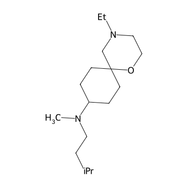 CCN1CCOC2(CCC(N(C)CCC(C)C)CC2)C1